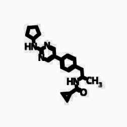 CC(Cc1ccc(-c2cnc(NC3CCCC3)nc2)cc1)NC(=O)C1CC1